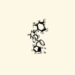 O=S(=O)(Cn1ncnc1-c1ccc(F)cc1F)c1ccccc1